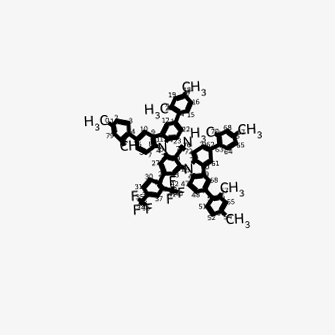 Cc1ccc(-c2ccc3c(c2)c2cc(-c4ccc(C)cc4C)ccc2n3-c2cc(-c3ccc(C(F)(F)F)cc3C(F)(F)F)cc(-n3c4ccc(-c5ccc(C)cc5C)cc4c4cc(-c5ccc(C)cc5C)ccc43)c2C#N)c(C)c1